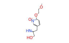 COCCOc1ccc(CC(=N)CO)c[n+]1[O-]